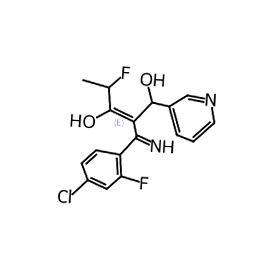 CC(F)/C(O)=C(/C(=N)c1ccc(Cl)cc1F)C(O)c1cccnc1